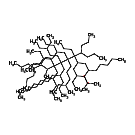 CCCCCC(CCC)C[C](CC(CC)CCC)C(CCC)(C(CCC)CCC)C(CCCC(C)CC)(CC(CCC)CCCCC)C(CCC(CC)CC)(CC(CCC)CCCCC)C(CC(CC)CCC)(CC(CCC)CCCCC)C(C)CC(CCC)CCCCC